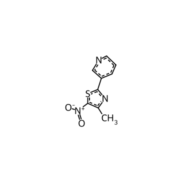 Cc1nc(-c2cccnc2)sc1[N+](=O)[O-]